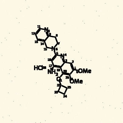 COc1cc2nc(N3CCc4ncccc4C3)cc(N)c2c(OC2CCC2)c1OC.Cl